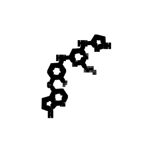 Nc1nc(Nc2ccc(Oc3ccnc4[nH]ccc34)c(F)c2)cc(Nc2cc[nH]n2)n1